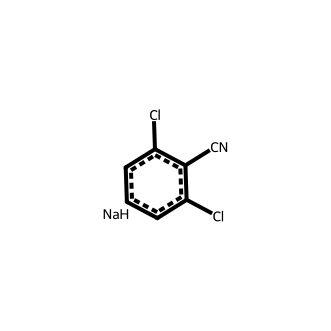 N#Cc1c(Cl)cccc1Cl.[NaH]